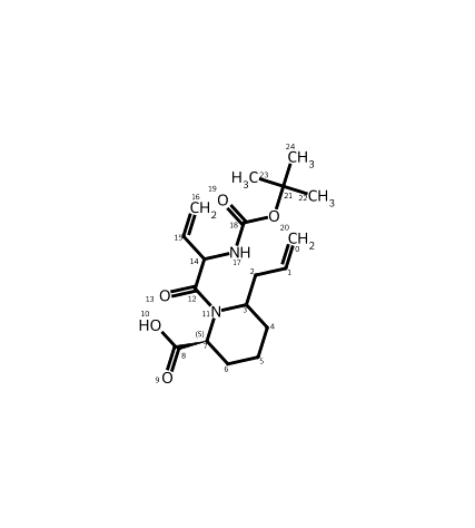 C=CCC1CCC[C@@H](C(=O)O)N1C(=O)C(C=C)NC(=O)OC(C)(C)C